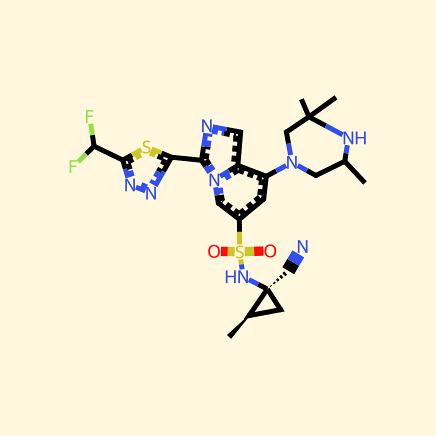 CC1CN(c2cc(S(=O)(=O)N[C@@]3(C#N)C[C@H]3C)cn3c(-c4nnc(C(F)F)s4)ncc23)CC(C)(C)N1